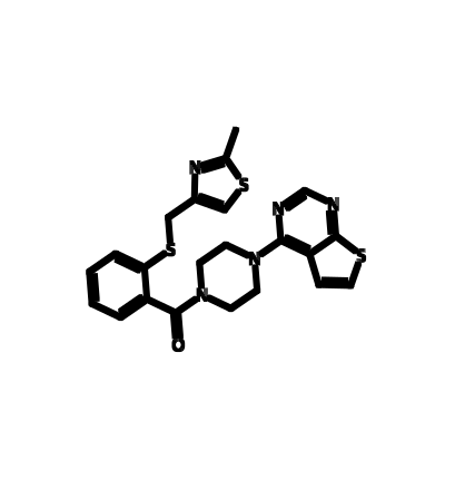 Cc1nc(CSc2ccccc2C(=O)N2CCN(c3ncnc4sccc34)CC2)cs1